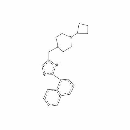 c1ccc2c(-c3ncc(CN4CCN(C5CCC5)CC4)[nH]3)cccc2c1